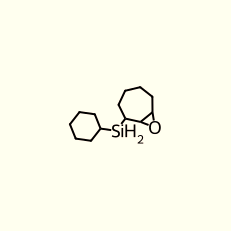 C1CCC([SiH2]C2CCCCC3OC32)CC1